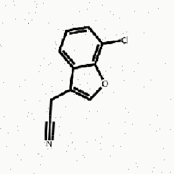 N#CCc1coc2c(Cl)cccc12